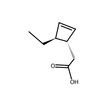 CC[C@H]1C=C[C@@H]1CC(=O)O